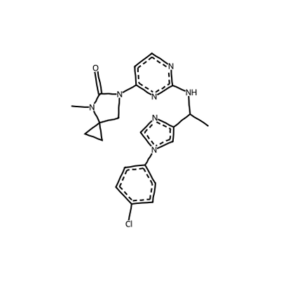 CC(Nc1nccc(N2CC3(CC3)N(C)C2=O)n1)c1cn(-c2ccc(Cl)cc2)cn1